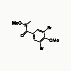 COc1c(Br)cc(C(=O)N(C)OC)cc1Br